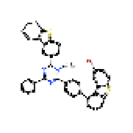 CN1C(c2ccc(-c3cccc4sc5ccc(Br)cc5c34)cc2)=NC(C2=CC=C=C=C2)=NC1c1ccc2sc3c(c2c1)C=CCC3